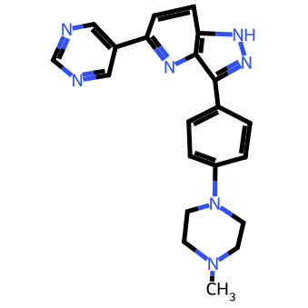 CN1CCN(c2ccc(-c3n[nH]c4ccc(-c5cncnc5)nc34)cc2)CC1